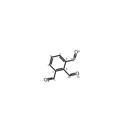 O=Cc1cccc(P=O)c1C=O